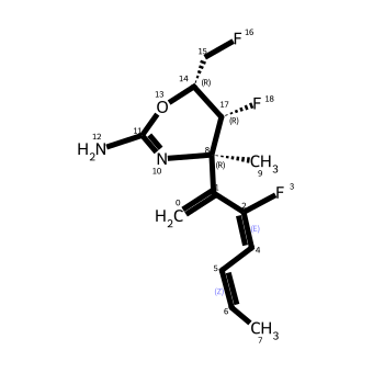 C=C(/C(F)=C\C=C/C)[C@@]1(C)N=C(N)O[C@H](CF)[C@@H]1F